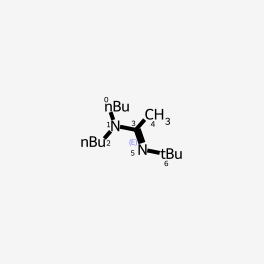 CCCCN(CCCC)/C(C)=N/C(C)(C)C